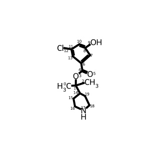 CC(C)(OC(=O)c1cc(O)cc(Cl)c1)C1CCNCC1